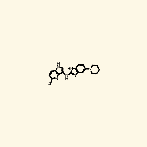 Clc1ccc2[nH]cc(Nc3nc4cc(N5CCCCC5)ccc4[nH]3)c2n1